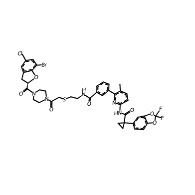 Cc1ccc(NC(=O)C2(c3ccc4c(c3)OC(F)(F)O4)CC2)nc1-c1cccc(C(=O)NCCSCC(=O)N2CCN(C(=O)[C@H]3Cc4cc(Cl)cc(Br)c4O3)CC2)c1